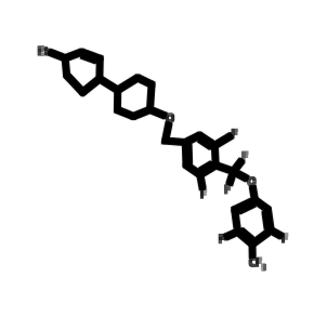 CCC1C=CC(C2CCC(OCc3cc(F)c(C(F)(F)Oc4cc(F)c(C(F)(F)F)c(F)c4)c(F)c3)CC2)CC1